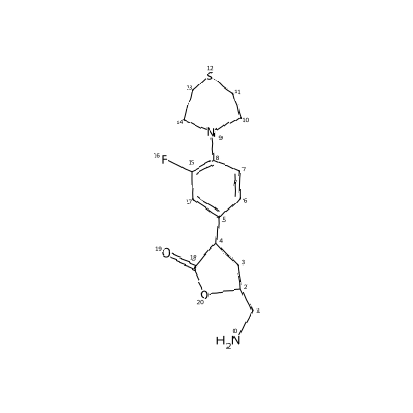 NCC1CC(c2ccc(N3CCSCC3)c(F)c2)C(=O)O1